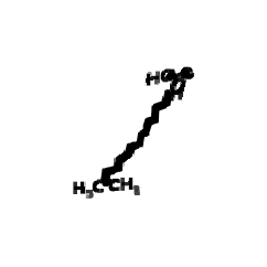 CC(C)CCCCCCCCCCCCCO[PH](=O)O